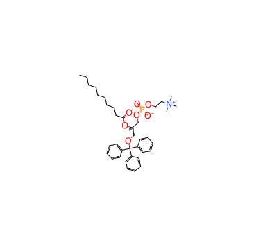 CCCCCCCCCC(=O)O[C@H](COC(c1ccccc1)(c1ccccc1)c1ccccc1)COP(=O)([O-])OCC[N+](C)(C)C